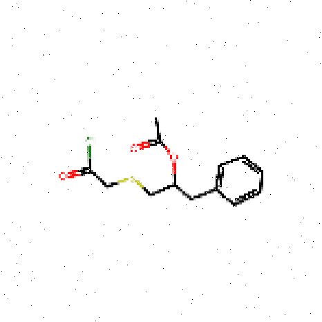 CC(=O)OC(CSCC(=O)Cl)Cc1ccccc1